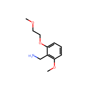 COCCOc1cccc(OC)c1CN